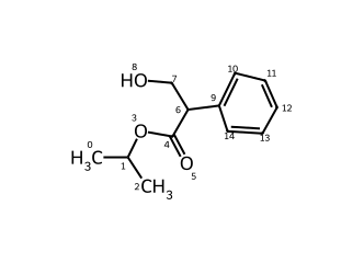 CC(C)OC(=O)C(CO)c1ccccc1